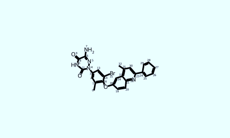 Cc1cc(-n2nc(N)c(=O)[nH]c2=O)cc(Br)c1Oc1ccc2nc(-c3ccccc3)cc(C)c2c1